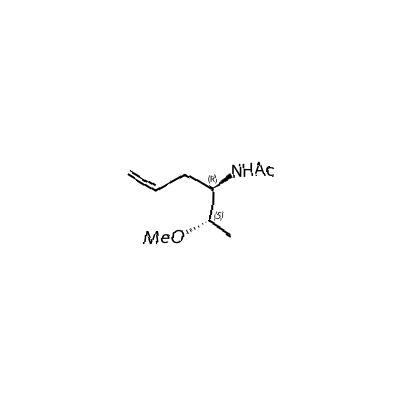 C=CC[C@@H](NC(C)=O)[C@H](C)OC